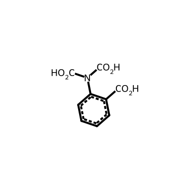 O=C(O)c1ccccc1N(C(=O)O)C(=O)O